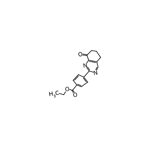 CCOC(=O)c1ccc(-c2ncc3c(n2)C(=O)CCC3)cc1